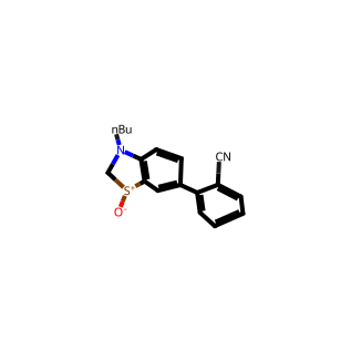 CCCCN1C[S+]([O-])c2cc(-c3ccccc3C#N)ccc21